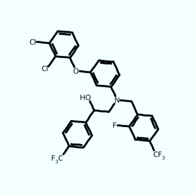 OC(CN(Cc1ccc(C(F)(F)F)cc1F)c1cccc(Oc2cccc(Cl)c2Cl)c1)c1ccc(C(F)(F)F)cc1